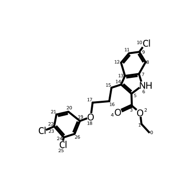 CCOC(=O)c1[nH]c2cc(Cl)ccc2c1CCCOc1ccc(Cl)c(Cl)c1